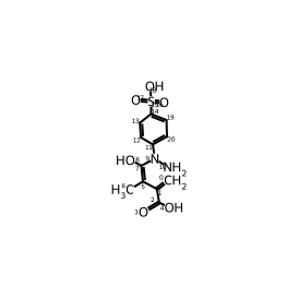 C=C(C(=O)O)/C(C)=C(/O)N(N)c1ccc(S(=O)(=O)O)cc1